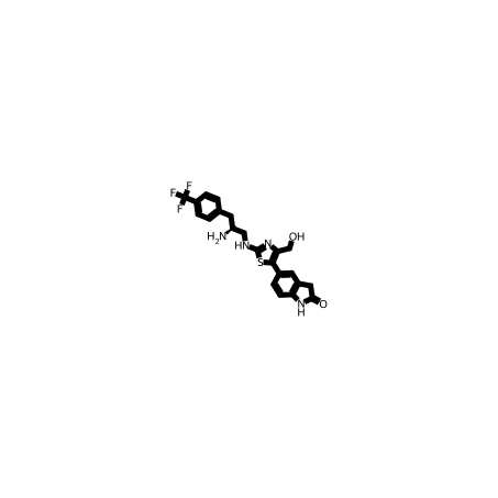 N[C@H](CNc1nc(CO)c(-c2ccc3c(c2)CC(=O)N3)s1)Cc1ccc(C(F)(F)F)cc1